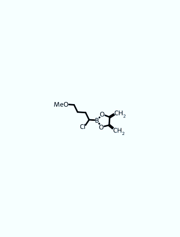 C=C1OB(C(Cl)CCCOC)OC1=C